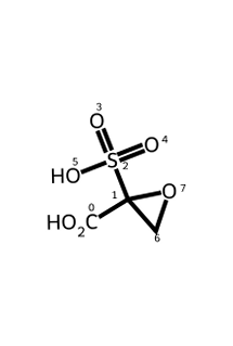 O=C(O)C1(S(=O)(=O)O)CO1